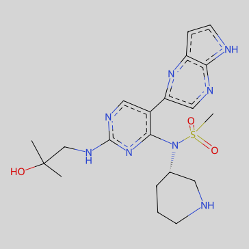 CC(C)(O)CNc1ncc(-c2cnc3[nH]ccc3n2)c(N([C@H]2CCCNC2)S(C)(=O)=O)n1